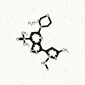 Cc1cc(-c2nsc3c(P(C)(C)=O)cc(N4CCOC[C@H]4C)nc23)n(PI)n1